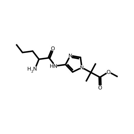 CCCC(N)C(=O)Nc1cn(C(C)(C)C(=O)OC)cn1